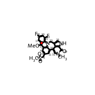 COC(=O)c1cc(CS(C)(=O)=O)cc2c1N(c1ccc(F)cc1F)Cc1c[nH]c3c(=O)n(C)cc-2c13